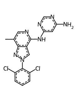 Cc1cnc(Nc2cc(N)ncn2)c2cn(-c3c(Cl)cccc3Cl)nc12